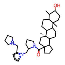 CC1C(O)CCC2(C)C1CCC1C2CCC2C3CCCC3(C(=O)N3CCCC3Cn3cccc3CN3CCCC3)CC[C@]21C